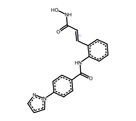 O=C(/C=C/c1ccccc1NC(=O)c1ccc(-n2cccn2)cc1)NO